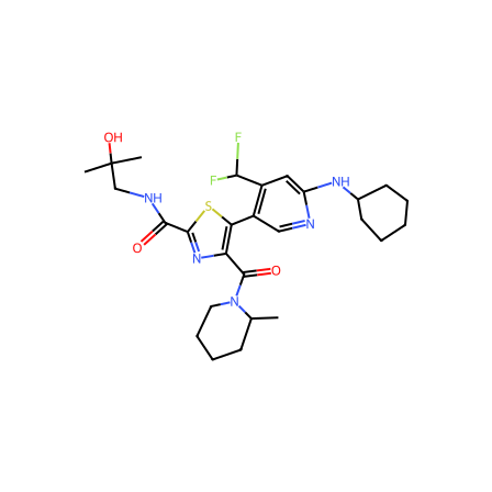 CC1CCCCN1C(=O)c1nc(C(=O)NCC(C)(C)O)sc1-c1cnc(NC2CCCCC2)cc1C(F)F